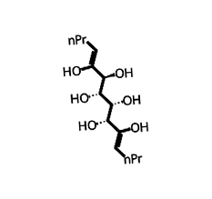 CCCC=C(O)[C@@H](O)[C@@H](O)[C@H](O)[C@@H](O)C(O)=CCCC